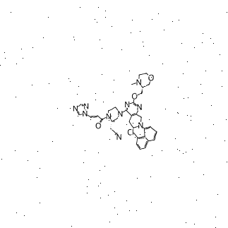 CN1CCOC[C@H]1COc1nc2c(c(N3CCN(C(=O)/C=C/n4cncn4)[C@@H](CC#N)C3)n1)CCN(c1cccc3cccc(Cl)c13)C2